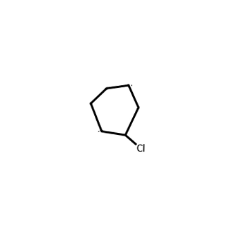 ClC1[CH]CC[CH]C1